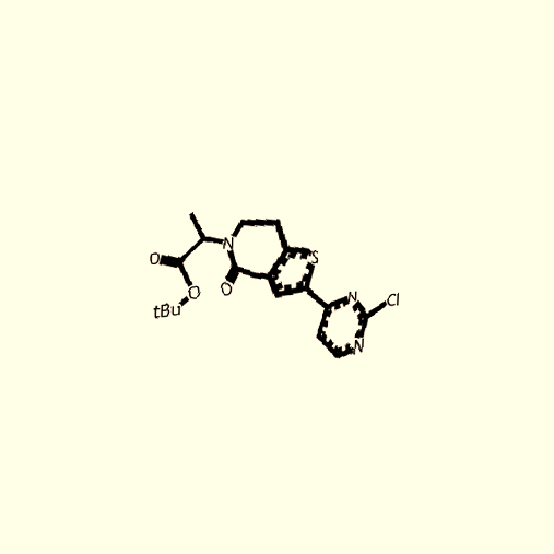 CC(C(=O)OC(C)(C)C)N1CCc2sc(-c3ccnc(Cl)n3)cc2C1=O